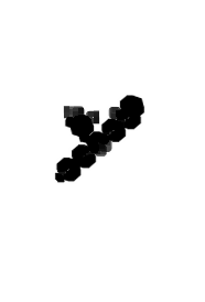 Cc1cc(C[C@@H](CC(=O)N2CCC(N3CCc4ccccc4C3=O)CC2)C(=O)N2CCC(C3CCN(C)CC3)CC2)cc(Cl)c1O